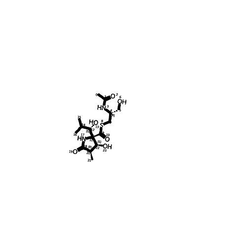 CC(=O)N[C@H](CO)CSC(=O)[C@]1([C@@H](O)C(C)C)NC(=O)[C@H](C)[C@@H]1O